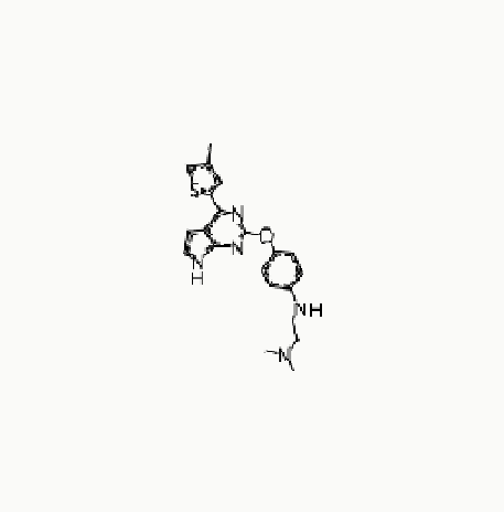 Cc1csc(-c2nc(Oc3ccc(NCCN(C)C)cc3)nc3[nH]ccc23)c1